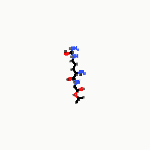 CC(C)OC(=O)CNC(=O)C(N)CCCNC(N)=O